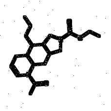 CCCC1C2CN(C(=O)OCC)CC2CC2C1CC=CN2C(C)=O